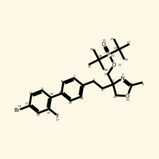 CC1=NC(CCc2ccc(-c3ccc(Br)cc3F)cc2)(COP(=O)(C(C)(C)C)C(C)(C)C)CO1